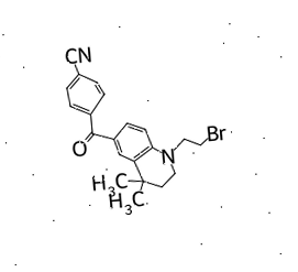 CC1(C)CCN(CCBr)c2ccc(C(=O)c3ccc(C#N)cc3)cc21